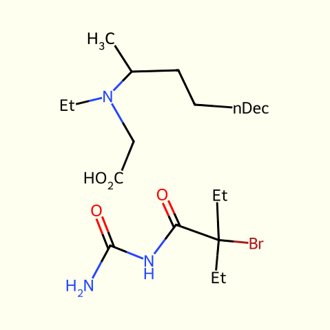 CCC(Br)(CC)C(=O)NC(N)=O.CCCCCCCCCCCCC(C)N(CC)CC(=O)O